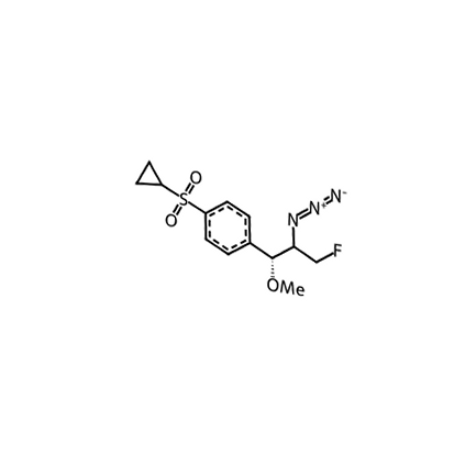 CO[C@H](c1ccc(S(=O)(=O)C2CC2)cc1)C(CF)N=[N+]=[N-]